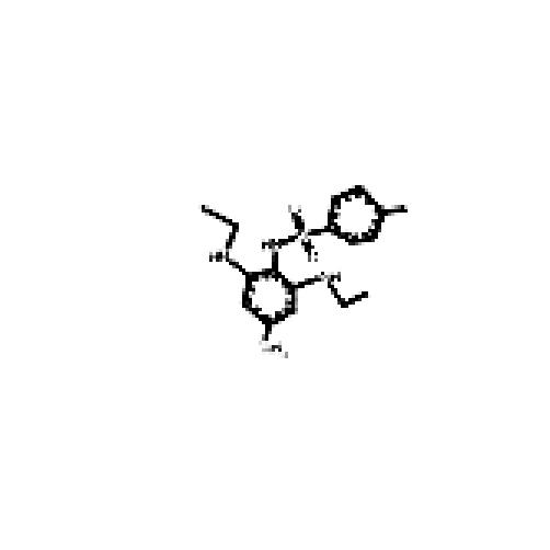 CCNc1cc(N)cc(NCC)c1NS(=O)(=O)c1ccc(C)cc1